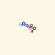 N#Cc1ccccc1OC1(C(=O)N2CCN(c3cccc(C(F)(F)F)n3)CC2)CCCC1